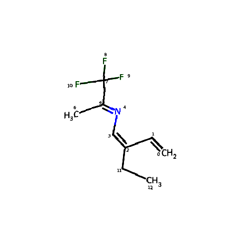 C=C/C(=C\N=C(/C)C(F)(F)F)CC